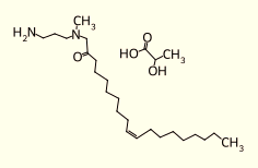 CC(O)C(=O)O.CCCCCCCC/C=C\CCCCCCCC(=O)CN(C)CCCN